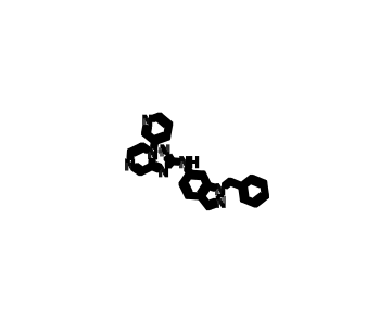 C1=C[N+]2(c3cccnc3)N=C(Nc3ccc4cnn(Cc5ccccc5)c4c3)N=C2C=N1